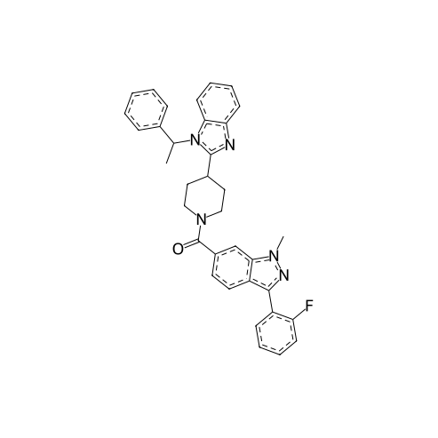 CC(c1ccccc1)n1c(C2CCN(C(=O)c3ccc4c(-c5ccccc5F)nn(C)c4c3)CC2)nc2ccccc21